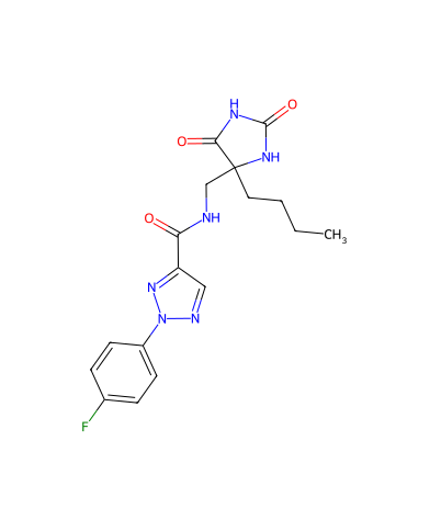 CCCCC1(CNC(=O)c2cnn(-c3ccc(F)cc3)n2)NC(=O)NC1=O